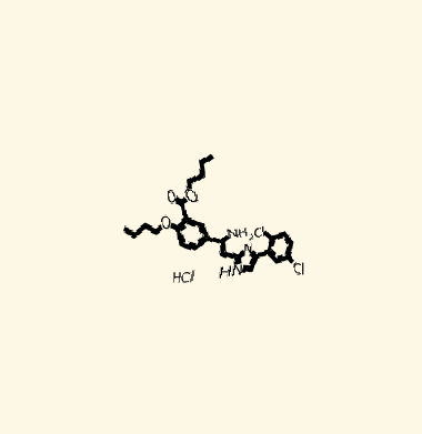 CCCCOC(=O)c1cc(C(N)Cc2nc(-c3cc(Cl)ccc3Cl)c[nH]2)ccc1OCCCC.Cl